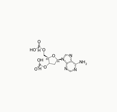 Nc1ncnc2c1ncn2[C@H]1CC(O[PH](=O)O)[C@@H](CO[PH](=O)O)O1